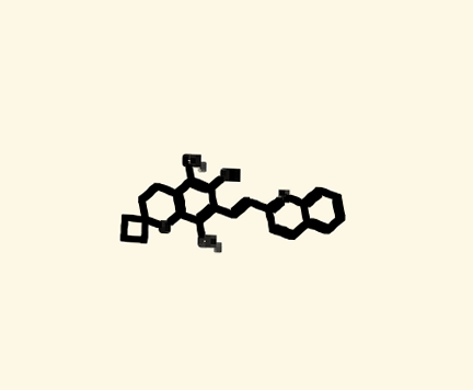 Cc1c(O)c(C=Cc2ccc3ccccc3n2)c(C)c2c1CCC1(CCC1)O2